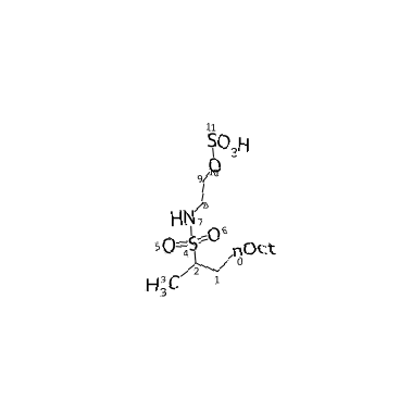 CCCCCCCCCC(C)S(=O)(=O)NCCOS(=O)(=O)O